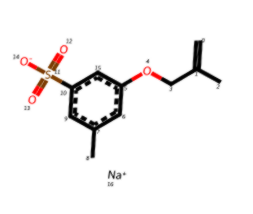 C=C(C)COc1cc(C)cc(S(=O)(=O)[O-])c1.[Na+]